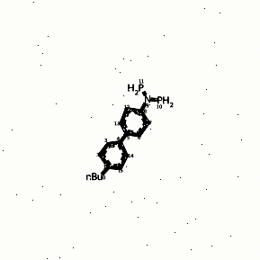 CCCCc1ccc(-c2ccc(N(P)P)cc2)cc1